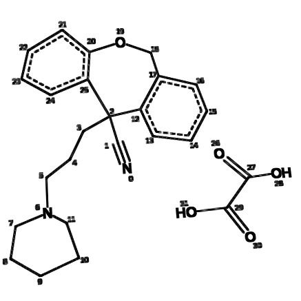 N#CC1(CCCN2CCCCC2)c2ccccc2COc2ccccc21.O=C(O)C(=O)O